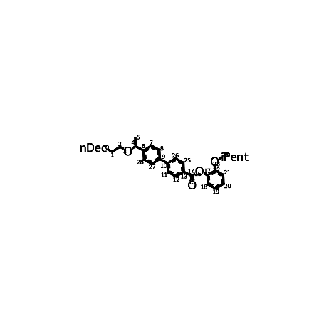 CCCCCCCCCCCCOC(C)c1ccc(-c2ccc(C(=O)Oc3ccccc3OC(C)CCC)cc2)cc1